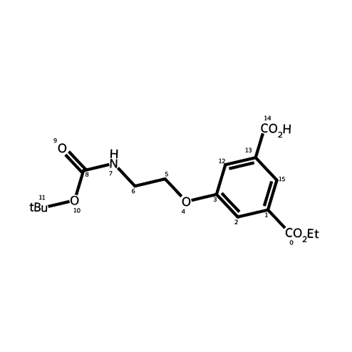 CCOC(=O)c1cc(OCCNC(=O)OC(C)(C)C)cc(C(=O)O)c1